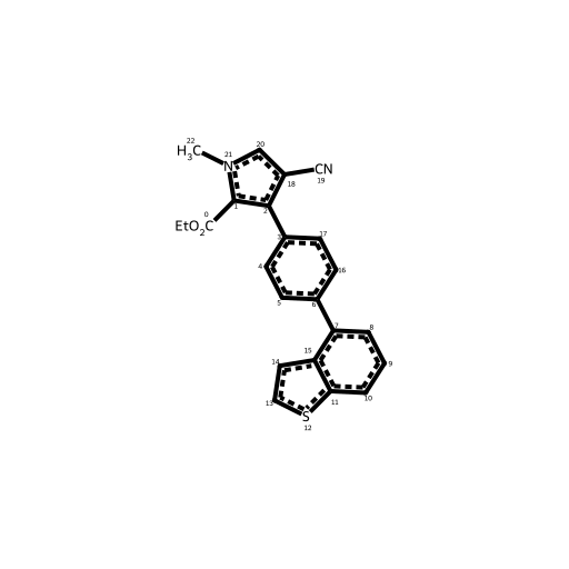 CCOC(=O)c1c(-c2ccc(-c3cccc4sccc34)cc2)c(C#N)cn1C